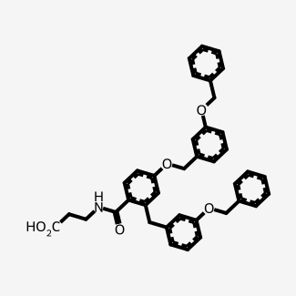 O=C(O)CCNC(=O)c1ccc(OCc2cccc(OCc3ccccc3)c2)cc1Cc1cccc(OCc2ccccc2)c1